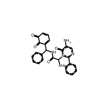 CCCCCCC(C(=O)NC(C1=CC=CC(=O)C1=O)c1ccccc1)n1c(-c2ccccc2)ncc(N)c1=O